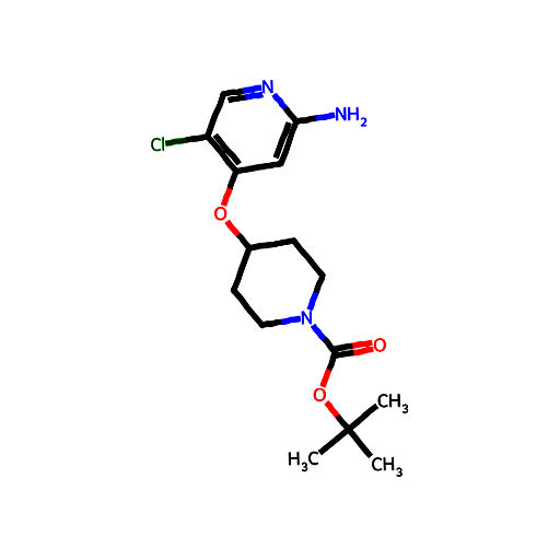 CC(C)(C)OC(=O)N1CCC(Oc2cc(N)ncc2Cl)CC1